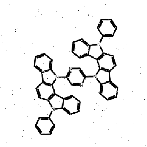 c1ccc(-n2c3ccccc3c3c2ccc2c4ccccc4n(-c4cnc(-n5c6ccccc6c6ccc7c(c8ccccc8n7-c7ccccc7)c65)cn4)c23)cc1